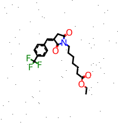 CCOC(=O)CCCCCCN1C(=O)CC(=Cc2ccc(C(F)(F)F)cc2)C1=O